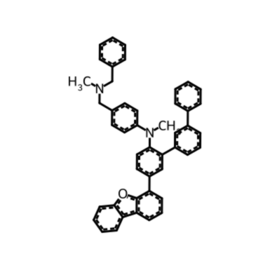 CN(Cc1ccccc1)Cc1ccc(N(C)c2ccc(-c3cccc4c3oc3ccccc34)cc2-c2cccc(-c3ccccc3)c2)cc1